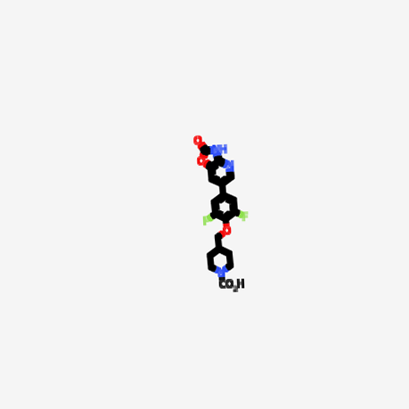 O=C(O)N1CCC(COc2c(F)cc(-c3cnc4[nH]c(=O)oc4c3)cc2F)CC1